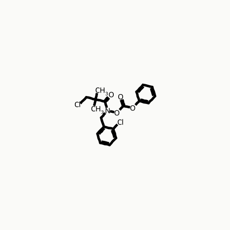 CC(C)(CCl)C(=O)N(Cc1ccccc1Cl)OC(=O)Oc1ccccc1